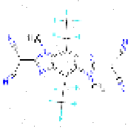 Cn1c(=C(C#N)C#N)nc2c(C(F)(F)C(F)(F)F)c3c(nc(=C(C#N)C#N)n3C)c(C(F)(F)C(F)(F)F)c21